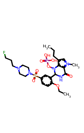 CCCc1cn(C)c2c1N(OP(=O)(O)O)C(c1cc(S(=O)(=O)N3CCN(CCCF)CC3)ccc1OCC)NC2=O